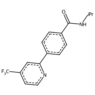 CC(C)NC(=O)c1ccc(-c2cc(C(F)(F)F)ccn2)cc1